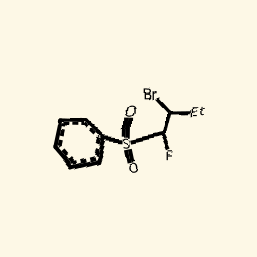 CCC(Br)C(F)S(=O)(=O)c1ccccc1